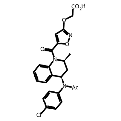 CC(=O)N(c1ccc(Cl)cc1)[C@@H]1C[C@H](C)N(C(=O)c2cc(OCC(=O)O)no2)c2ccccc21